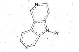 CC(C)n1c2ccncc2c2ccncc21